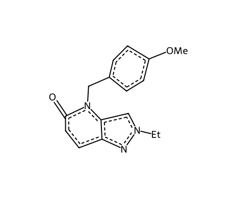 CCn1cc2c(ccc(=O)n2Cc2ccc(OC)cc2)n1